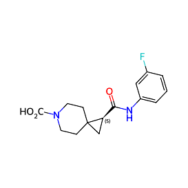 O=C(Nc1cccc(F)c1)[C@H]1CC12CCN(C(=O)O)CC2